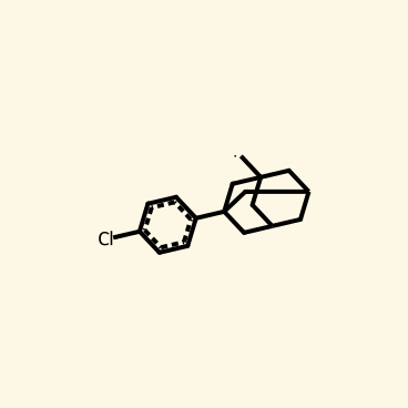 [CH2]C12CC3CC(C1)CC(c1ccc(Cl)cc1)(C3)C2